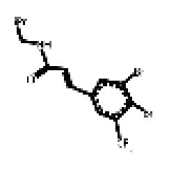 CC(C)CNC(=O)/C=C/c1cc(Br)c(Br)c(C(F)(F)F)c1